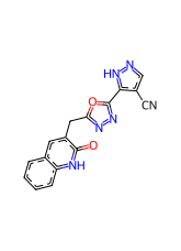 N#Cc1cn[nH]c1-c1nnc(Cc2cc3ccccc3[nH]c2=O)o1